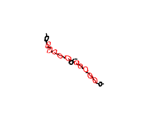 CCc1c(OCCOCCOCCOCCOCc2ccc(C)cc2)cccc1OCCOCCOCCOCCOCc1ccc(C)cc1